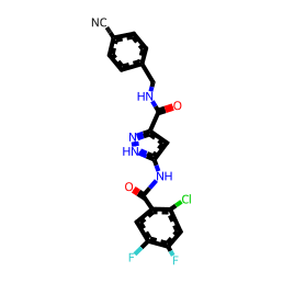 N#Cc1ccc(CNC(=O)c2cc(NC(=O)c3cc(F)c(F)cc3Cl)[nH]n2)cc1